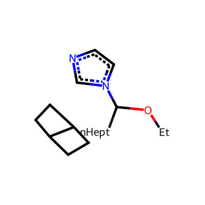 C1CC2CCC12.CCCCCCCC(OCC)n1ccnc1